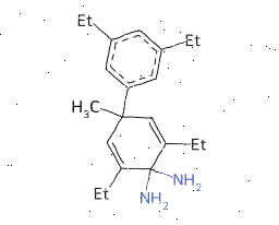 CCC1=CC(C)(c2cc(CC)cc(CC)c2)C=C(CC)C1(N)N